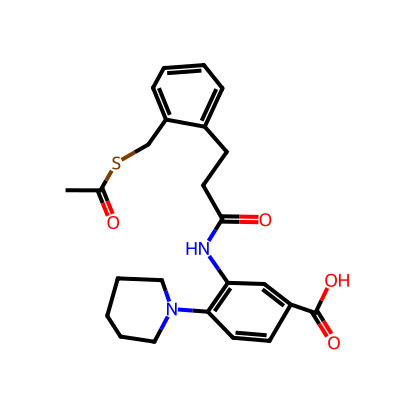 CC(=O)SCc1ccccc1CCC(=O)Nc1cc(C(=O)O)ccc1N1CCCCC1